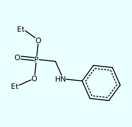 CCOP(=O)(CNc1ccccc1)OCC